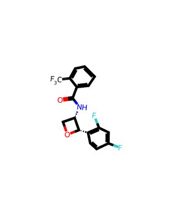 O=C(N[C@H]1CO[C@H]1c1ccc(F)cc1F)c1ccccc1C(F)(F)F